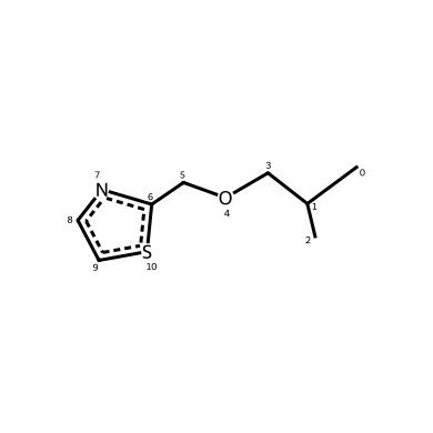 CC(C)COCc1nccs1